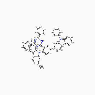 Cc1ccc2c3ccc(C)cc3n(-c3ccc(-c4ccc5c6ccccc6n(-c6ccccc6)c5c4)cc3-c3nc(-c4ccccc4)nc(-c4ccccc4)n3)c2c1